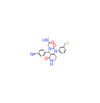 CNC(=O)CN1C(=O)N(c2cccc(CF)c2)C2=C(C(=O)NCC2)C1c1ccc(C#N)cc1